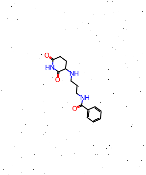 O=C1CCC(NCCCNC(=O)c2ccccc2)C(=O)N1